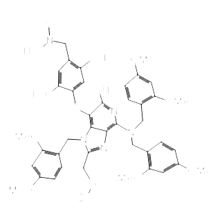 CCOCc1nc2c(N(Cc3ccc(OC)cc3OC)Cc3ccc(OC)cc3OC)nc(C)c(Sc3cc(O)c(CN(C)C)cc3C)c2n1Cc1ccc(OC)cc1OC